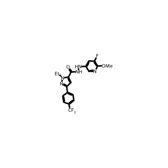 CCn1nc(-c2ccc(C(F)(F)F)cc2)cc1C(=O)NNc1cnc(OC)c(F)c1